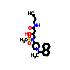 C#CCCNC(=O)CC(O)CN(C1CCN(C(C)c2cccc3ccccc23)CC1)S(C)(=O)=O